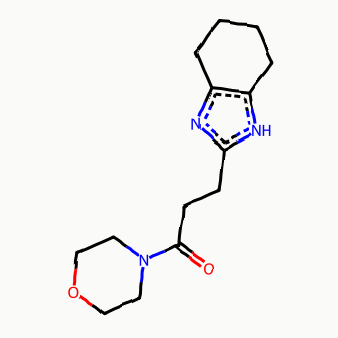 O=C(CCc1nc2c([nH]1)CCCC2)N1CCOCC1